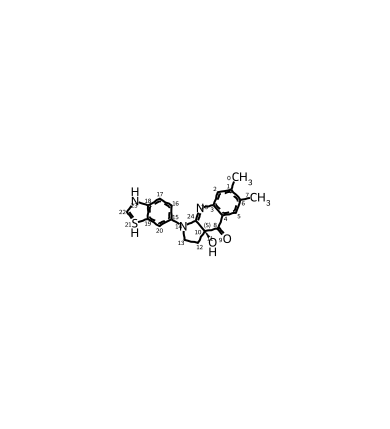 Cc1cc2c(cc1C)C(=O)[C@]1(O)CCN(c3ccc4c(c3)[SH]=CN4)C1=N2